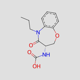 CCCN1C(=O)[C@@H](NC(=O)O)COc2ccccc21